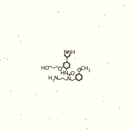 COc1cccc(CN(CCCN)C(=O)Nc2ccc(-c3cn[nH]c3)cc2OCCCO)c1